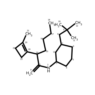 C=C(NC1CCCC(CC(C)(C)C)C1)C(CCCC)C1=C(C)CC1